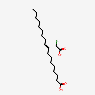 CCCCCCCCC=CCCCCCCCC(=O)O.O=C(O)CCl